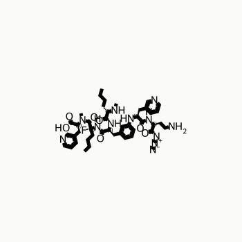 CCCC[C@H](NC)C(=O)N[C@@H](Cc1cccc(N[C@@H](Cc2cccnc2)C(=O)N[C@@H](CCN)C(=O)N=[N+]=[N-])c1)C(=O)N[C@@](F)(CCCC)C(=O)N(C)[C@@H](Cc1cccnc1)C(=O)O